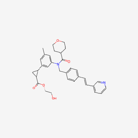 Cc1cc(C2CC2C(=O)OCCO)cc(N(Cc2ccc(C=Cc3cccnc3)cc2)C(=O)C2CCOCC2)c1